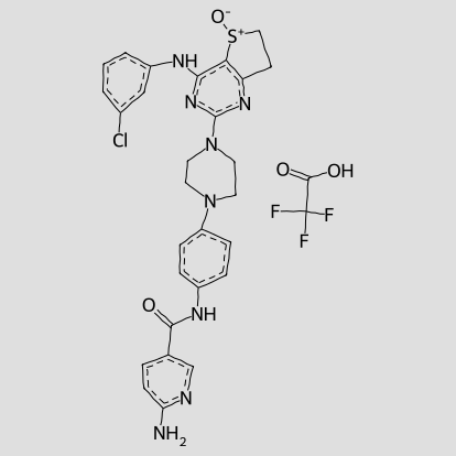 Nc1ccc(C(=O)Nc2ccc(N3CCN(c4nc5c(c(Nc6cccc(Cl)c6)n4)[S+]([O-])CC5)CC3)cc2)cn1.O=C(O)C(F)(F)F